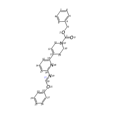 O=C(OCc1ccccc1)N1CC=C(c2cccc(/N=C/Oc3ccccc3)n2)CC1